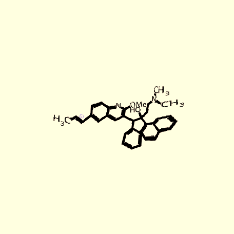 C/C=C/c1ccc2nc(OC)c(C(c3ccccc3)C(O)(CCN(C)C)c3cccc4ccccc34)cc2c1